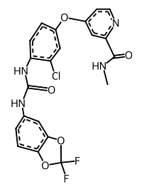 CNC(=O)c1cc(Oc2ccc(NC(=O)Nc3ccc4c(c3)OC(F)(F)O4)c(Cl)c2)ccn1